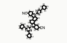 N#Cc1ccc2c(c1)c1c3ccc4c(c3ccc1n2-c1ncc(-c2ccccc2)cn1)c1cc(C#N)ccc1n4-c1nc(-c2ccccc2)nc(-c2ccccc2)n1